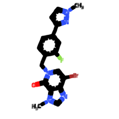 Cn1ccc(-c2ccc(Cn3cc(Br)c4ncn(C)c4c3=O)c(F)c2)n1